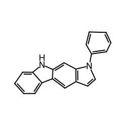 c1ccc(-n2ccc3cc4c(cc32)[nH]c2ccccc24)cc1